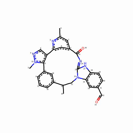 Cc1cc2cc(n1)-c1cnn(C)c1-c1cccc(c1)C(C)CN1/C(=N/C2=O)Nc2ccc(C=O)cc21